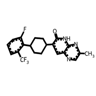 Cc1cnc2cc(C3CCC(c4c(F)cccc4C(F)(F)F)CC3)c(=O)[nH]c2n1